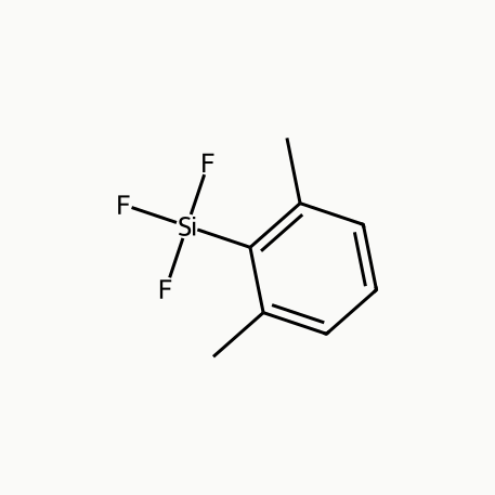 Cc1cccc(C)c1[Si](F)(F)F